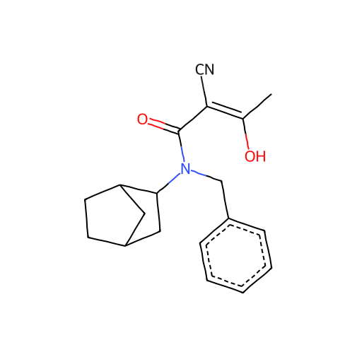 CC(O)=C(C#N)C(=O)N(Cc1ccccc1)C1CC2CCC1C2